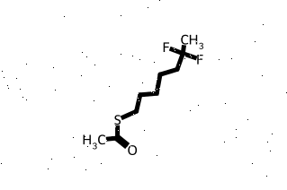 CC(=O)SCCCCCC(C)(F)F